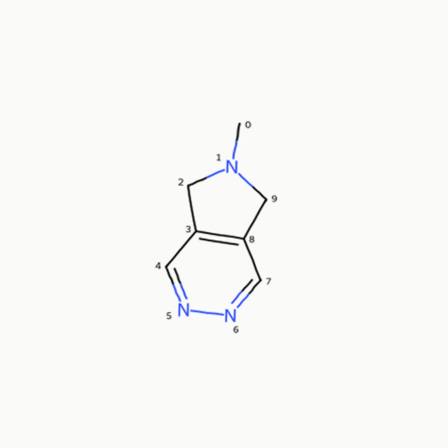 CN1Cc2cnncc2C1